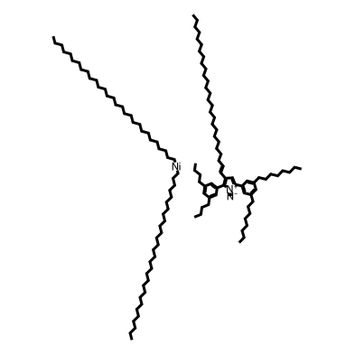 CCCCCCCCCCCCCCCCCCCCCCCCCC=CC1=C(c2cc(CCCC)cc(CCCC)c2)[N+](=[N-])C(c2cc(CCCCCCCC)cc(CCCCCCCC)c2)=C1.CCCCCCCCCCCCCCCCCCCCCCCCCCCC[CH2][Ni][CH2]CCCCCCCCCCCCCCCCCCCCCCCCCCCC